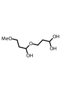 COCCC(O)OCCC(O)O